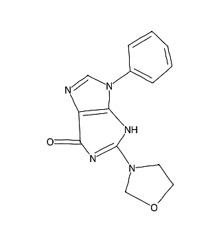 O=c1nc(N2CCOC2)[nH]c2c1ncn2-c1ccccc1